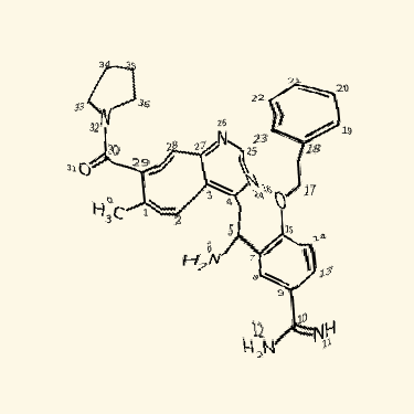 Cc1cc2c(C(N)c3cc(C(=N)N)ccc3OCc3ccccc3)ncnc2cc1C(=O)N1CCCC1